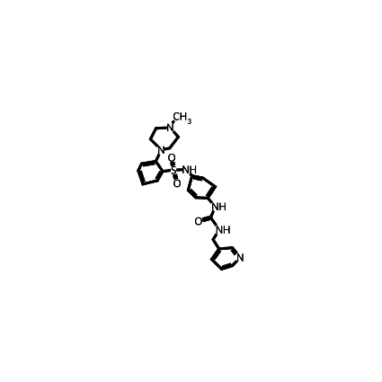 CN1CCN(c2ccccc2S(=O)(=O)Nc2ccc(NC(=O)NCc3cccnc3)cc2)CC1